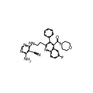 N#Cc1c(N)ncnc1NCCc1nc2ccc(F)cc2c(C(=O)N2CCOCC2)c1-c1ccccc1